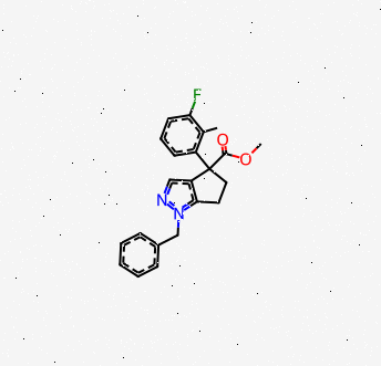 COC(=O)C1(c2cccc(F)c2C)CCc2c1cnn2Cc1ccccc1